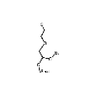 CCCCCOC(COCC[O])OCC